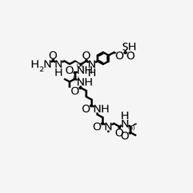 CC(=O)[C@H](C)NC(=O)CN(C)C(=O)CCNC(=O)CCCC(=O)N[C@H](C(=O)N[C@@H](CCCNC(N)=O)C(=O)Nc1ccc(COC(=O)S)cc1)C(C)C